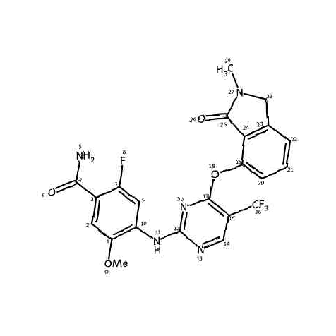 COc1cc(C(N)=O)c(F)cc1Nc1ncc(C(F)(F)F)c(Oc2cccc3c2C(=O)N(C)C3)n1